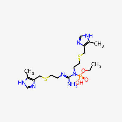 CCOP(=O)(O)N(CCSCc1nc[nH]c1C)C(N)=NCCSCc1nc[nH]c1C